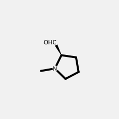 CN1CCC[C@@H]1[C]=O